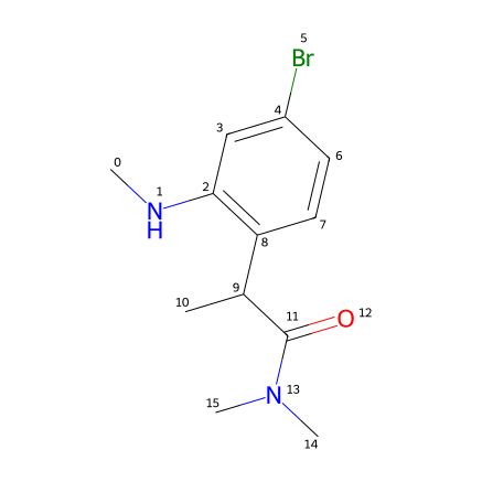 CNc1cc(Br)ccc1C(C)C(=O)N(C)C